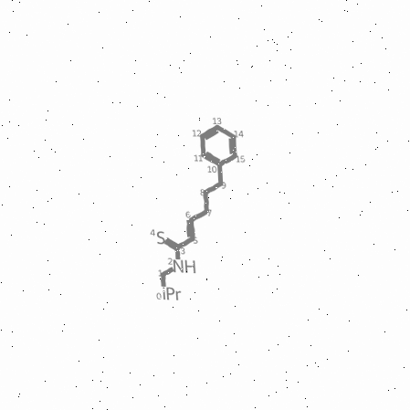 CC(C)CNC(=S)C=CCCCc1ccccc1